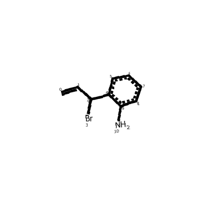 C=CC(Br)c1cc[c]cc1N